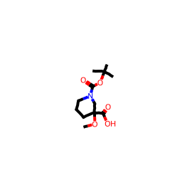 COC1(C(=O)O)CCCN(C(=O)OC(C)(C)C)C1